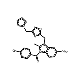 COc1ccc2c(c1)c(Cc1nc(Cn3cccn3)no1)c(C)n2C(=O)c1ccc(Cl)cc1